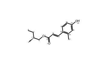 CC[C@H](C)COC(=O)C=Cc1ccc(O)cc1C